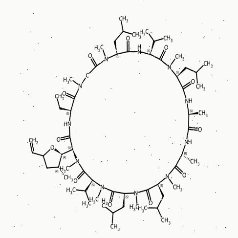 C=CC1C[C@@H](C)[C@H]([C@H]2C(=O)N[C@@H](CC)C(=O)N(C)CC(=O)N(C)[C@@H](CC(C)C)C(=O)N[C@@H](C(C)C)C(=O)N(C)[C@@H](CC(C)C)C(=O)N[C@@H](C)C(=O)N[C@H](C)C(=O)N(C)[C@@H](CC(C)C)C(=O)N(C)[C@@H](CC(C)C)C(=O)N(C)[C@@H](C(C)C)C(=O)N2C)O1